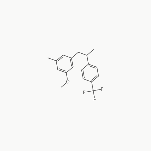 COc1cc(C)cc(CC(C)c2ccc(C(F)(F)F)cc2)c1